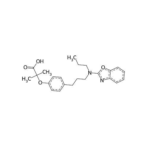 CCCN(CCCc1ccc(OC(C)(C)C(=O)O)cc1)c1nc2ccccc2o1